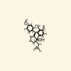 COc1ccc(C=C2CCCC(CN(C)C)C2(O)c2ccc(F)c(Cl)c2)cc1